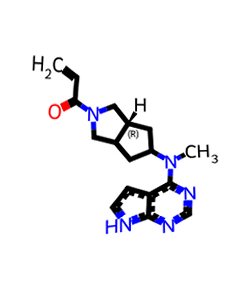 C=CC(=O)N1CC2CC(N(C)c3ncnc4[nH]ccc34)C[C@H]2C1